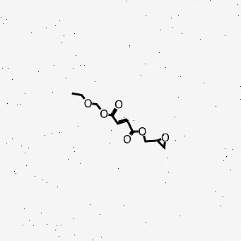 CCOCOC(=O)/C=C/C(=O)OCC1CO1